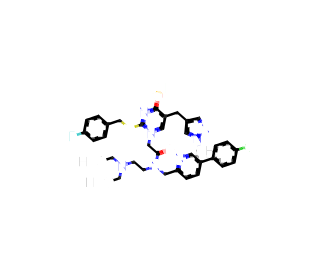 CCN(CC)CCN(Cc1ccc(-c2ccc(Cl)cc2)cn1)C(=O)Cn1cc(Cc2cnn(C)c2)c(=O)nc1SCc1ccc(F)cc1.Cl